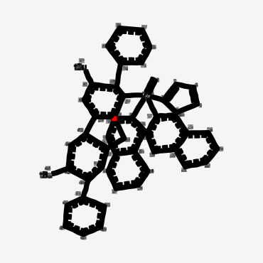 [CH2]=[Zr]([C]1=CC=CC1)([c]1ccc2ccccc2c1)([c]1ccc2ccccc2c1)[c]1c2c(cc(C(C)(C)C)c1-c1ccccc1)-c1cc(C(C)(C)C)c(-c3ccccc3)cc1C2